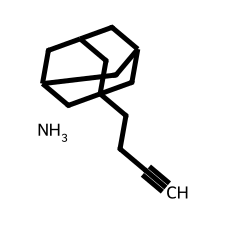 C#CCCC12CC3CC(CC(C3)C1)C2.N